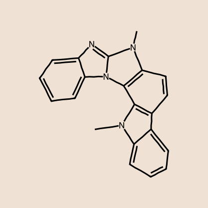 Cn1c2ccccc2c2ccc3c(c21)n1c2ccccc2nc1n3C